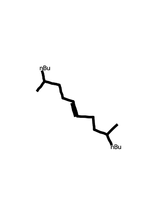 CCCCC(C)CCC=CCCC(C)CCCC